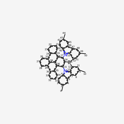 Cc1ccc2c(c1)c1cc(C)cc3c1n2-c1c2c(c4c5ccccc5c5cccc6c7ccccc7c1c4c65)-n1c4ccc(C)cc4c4cc(C)cc(c41)B23